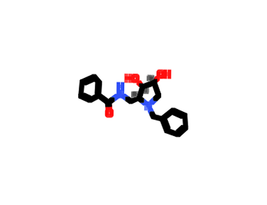 O=C(NC[C@H]1[C@@H](O)[C@@H](O)CN1Cc1ccccc1)c1ccccc1